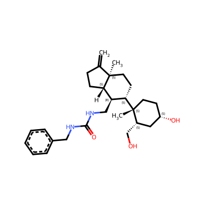 C=C1CC[C@H]2[C@H](CNC(=O)NCc3ccccc3)[C@@H]([C@]3(C)CC[C@H](O)C[C@@H]3CO)CC[C@]12C